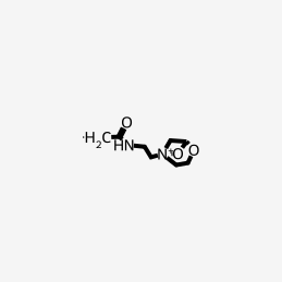 [CH2]C(=O)NCC[N+]12CCOC(C1)O2